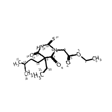 CCOC(=O)CN1C(=O)C(CC)(CCC(C)C)C(=O)NC1=S